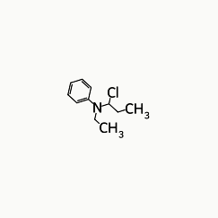 CCC(Cl)N(CC)c1ccccc1